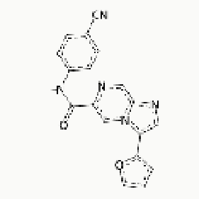 CN(C(=O)c1cn2c(-c3ccco3)cnc2cn1)c1ccc(C#N)cc1